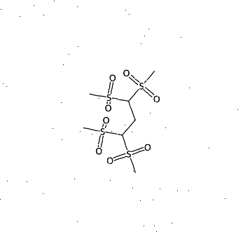 CS(=O)(=O)C(CC(S(C)(=O)=O)S(C)(=O)=O)S(C)(=O)=O